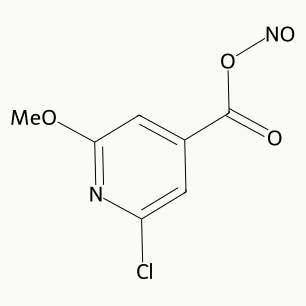 COc1cc(C(=O)ON=O)cc(Cl)n1